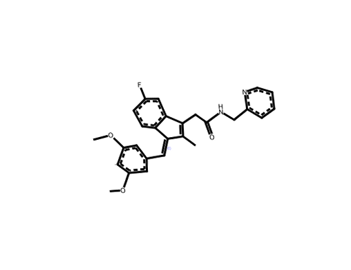 COc1[c]c(OC)cc(/C=C2/C(C)=C(CC(=O)NCc3ccccn3)c3cc(F)ccc32)c1